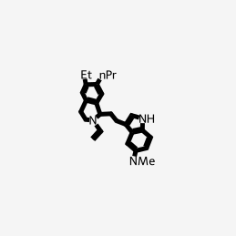 C=CN1CCc2cc(CC)c(CCC)cc2C1CCc1c[nH]c2ccc(NC)cc12